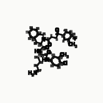 Cc1cc(C(=O)CCC(=O)N2Cc3ccccc3C[C@H]2C(=O)N[C@@H](CCCCN)C(=O)Nc2ccc(Cl)c(C)c2)ccc1F